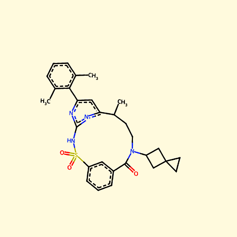 Cc1cccc(C)c1-c1cc2nc(n1)NS(=O)(=O)c1cccc(c1)C(=O)N(C1CC3(CC3)C1)CCC2C